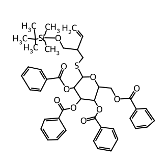 C=CC(CO[Si](C)(C)C(C)(C)C)CSC1OC(COC(=O)c2ccccc2)C(OC(=O)c2ccccc2)C(OC(=O)c2ccccc2)C1OC(=O)c1ccccc1